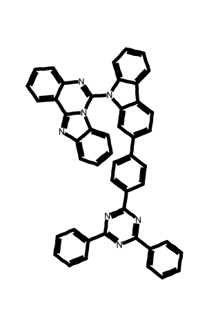 c1ccc(-c2nc(-c3ccccc3)nc(-c3ccc(-c4ccc5c6ccccc6n(-c6nc7ccccc7c7nc8ccccc8n67)c5c4)cc3)n2)cc1